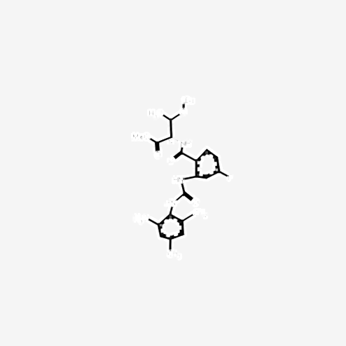 COC(=O)[C@@H](NC(=O)c1ccc(F)cc1NC(=O)Nc1c(C)cc(C)cc1C)C(C)OC(C)(C)C